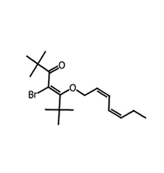 CC/C=C\C=C/CO/C(=C(/Br)C(=O)C(C)(C)C)C(C)(C)C